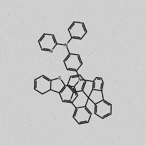 C1=CCC2C(=C1)Sc1c2cccc1N(c1ccc(N(c2ccccc2)c2ccccn2)cc1)c1cccc2c1C1(c3ccccc3Sc3ccccc31)c1ccccc1-2